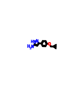 Nc1cc(-c2ccc(OCC3CC3)cc2)n[nH]1